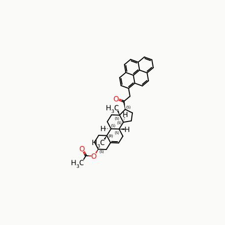 CC(=O)O[C@H]1CC[C@@]2(C)C(=CC[C@H]3[C@@H]4CC[C@H](C(=O)Cc5ccc6ccc7cccc8ccc5c6c78)[C@@]4(C)CC[C@@H]32)C1